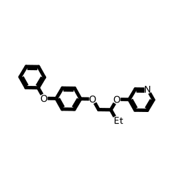 CCC(COc1ccc(Oc2ccccc2)cc1)Oc1cccnc1